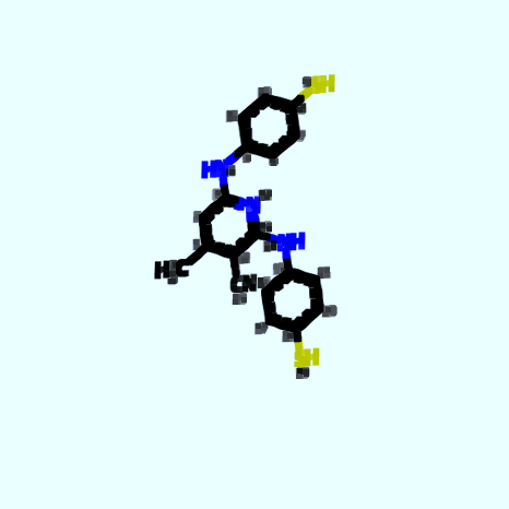 Cc1cc(Nc2ccc(S)cc2)nc(Nc2ccc(S)cc2)c1C#N